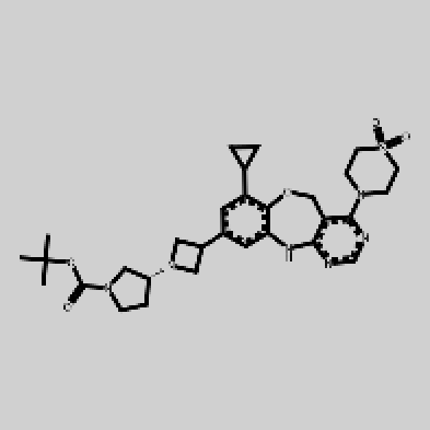 CC(C)(C)OC(=O)N1CC[C@@H](N2CC(c3cc4c(c(C5CC5)c3)OCc3c(ncnc3N3CCS(=O)(=O)CC3)N4)C2)C1